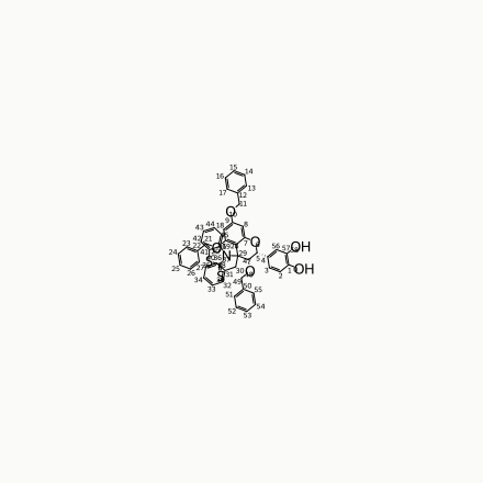 Oc1ccc([C@H]2Oc3cc(OCc4ccccc4)cc(OCc4ccccc4)c3C(Cc3ccccc3)(n3c(=S)sc4ccccc43)[C@H]2OCc2ccccc2)cc1O